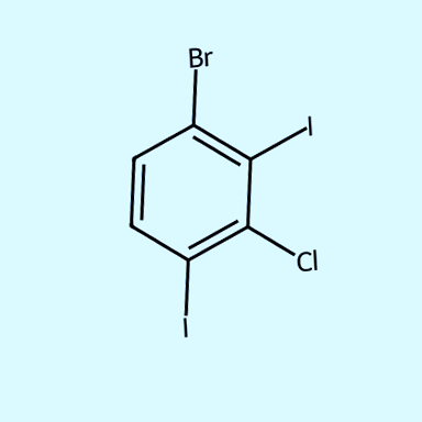 Clc1c(I)ccc(Br)c1I